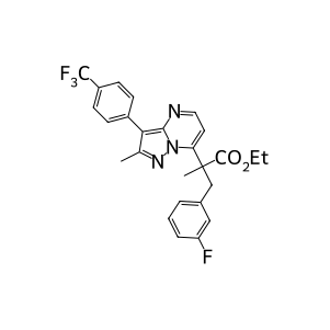 CCOC(=O)C(C)(Cc1cccc(F)c1)c1ccnc2c(-c3ccc(C(F)(F)F)cc3)c(C)nn12